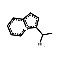 CC(N)c1ccc2ccccn12